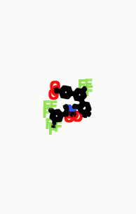 COC(=O)c1ccc(-c2cc(C3=C(CN4C(=O)OC(c5cc(C(F)(F)F)cc(C(F)(F)F)c5)C4C)CC(C)(C)CC3)cc(C(F)(F)F)c2)cc1